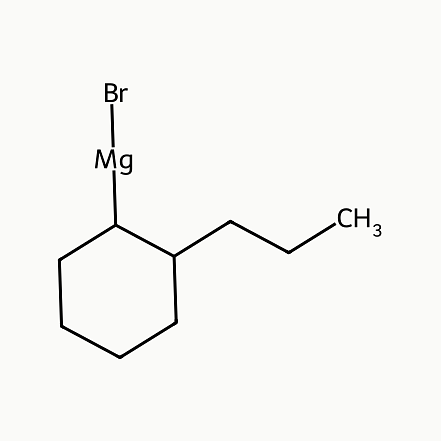 CCCC1CCCC[CH]1[Mg][Br]